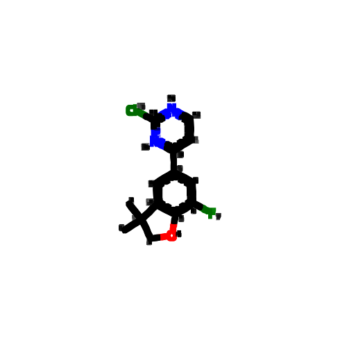 CC1(C)COc2c(F)cc(-c3ccnc(Cl)n3)cc21